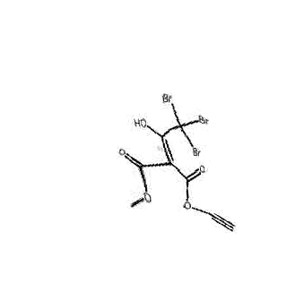 C#COC(=O)/C(C(=O)OC)=C(/O)C(Br)(Br)Br